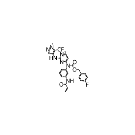 C=CC(=O)Nc1cccc(N(C(=O)OCc2ccc(F)cc2)c2ccnc(Nc3cnn(C)c3C(F)(F)F)n2)c1